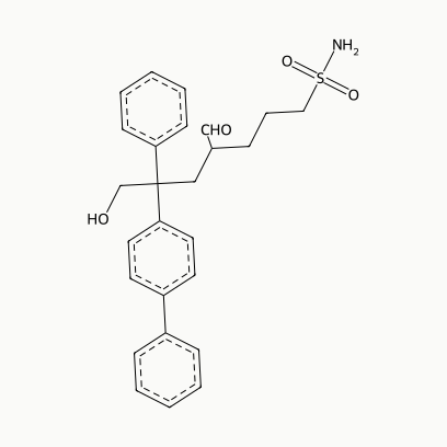 NS(=O)(=O)CCCC(C=O)CC(CO)(c1ccccc1)c1ccc(-c2ccccc2)cc1